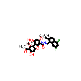 CCc1ccc2c(F)cc(F)cc2c1CNC(=O)c1c(OC)cc(O)c2c1OC1=CC(O)=C(C(C)=O)C(=O)[C@]12C